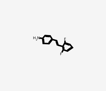 Nc1ccc(/C=C/c2c(F)cccc2F)cc1